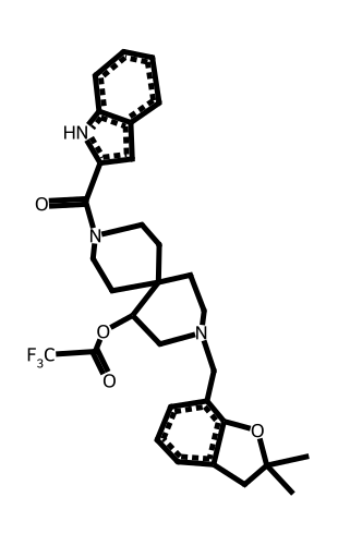 CC1(C)Cc2cccc(CN3CCC4(CCN(C(=O)c5cc6ccccc6[nH]5)CC4)C(OC(=O)C(F)(F)F)C3)c2O1